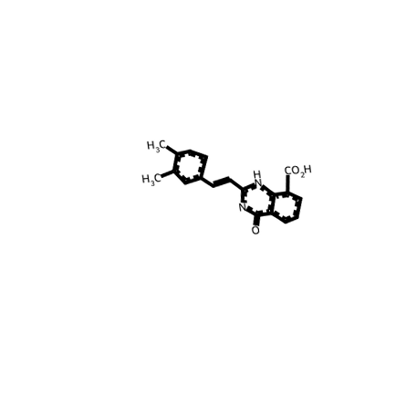 Cc1ccc(/C=C/c2nc(=O)c3cccc(C(=O)O)c3[nH]2)cc1C